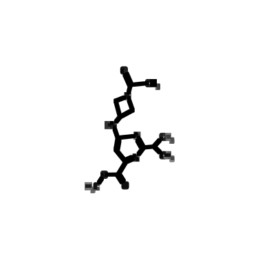 COC(=O)c1cc(NC2CN(C(C)=O)C2)nc(C(C)C)n1